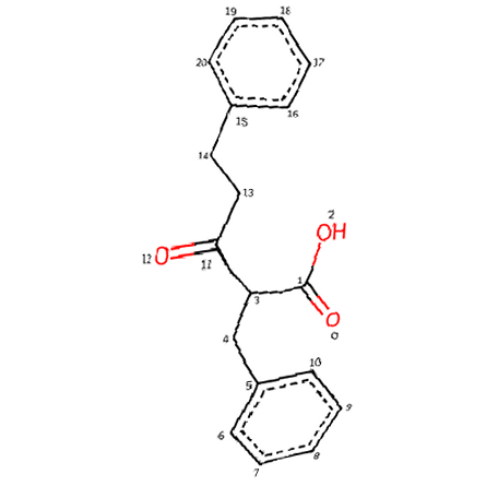 O=C(O)C(Cc1ccccc1)C(=O)CCc1ccccc1